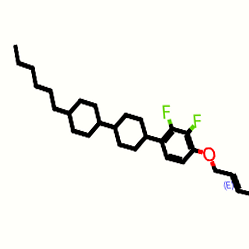 C/C=C/COc1ccc(C2CCC(C3CCC(CCCCCC)CC3)CC2)c(F)c1F